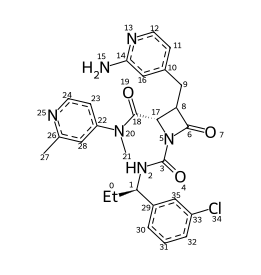 CC[C@@H](NC(=O)N1C(=O)C(Cc2ccnc(N)c2)[C@H]1C(=O)N(C)c1ccnc(C)c1)c1cccc(Cl)c1